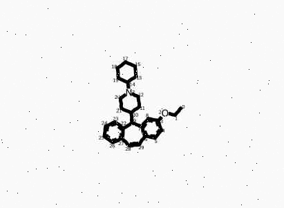 CCOc1ccc2c(c1)C(C1CCN(C3CCCCC3)CC1)c1ccccc1C=C2